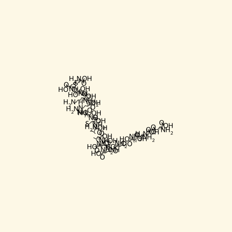 CC(C)C[C@H](N)C(=O)O.CC(C)[C@H](N)C(=O)O.CC[C@H](C)[C@H](N)C(=O)O.CSCC[C@H](N)C(=O)O.C[C@@H](O)[C@H](N)C(=O)O.C[C@H](N)C(=O)O.N=C(N)NCCC[C@H](N)C(=O)O.NCC(=O)O.NCCCC[C@H](N)C(=O)O.N[C@@H](CCC(=O)O)C(=O)O.N[C@@H](CO)C(=O)O.N[C@@H](CSSC[C@H](N)C(=O)O)C(=O)O.N[C@@H](Cc1c[nH]cn1)C(=O)O.N[C@@H](Cc1ccc(O)cc1)C(=O)O.N[C@@H](Cc1ccccc1)C(=O)O